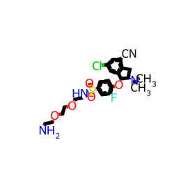 CN(C)[C@H]1Cc2c(C#N)cc(Cl)cc2[C@@H]1Oc1ccc(S(=O)(=O)NCCOCCOCCN)cc1F